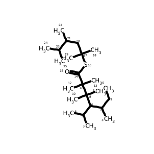 CCC(C)C(C(C)C)C(C)(C)C(C)(C)C(=O)SC(C)(C)CC(C)C(C)C